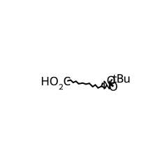 CC(C)(C)OC(=O)N1CC(CCCCCCCCCCC(=O)O)C1